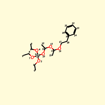 CCO[Si](OCC)(OCC)OC(C)OC(C)OCCc1ccccc1